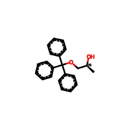 C[C@H](O)COC(c1ccccc1)(c1ccccc1)c1ccccc1